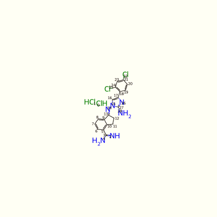 Cl.Cl.N=C(N)c1cccc2c1CCC2=Nn1cc(-c2ccc(Cl)cc2Cl)nc1N